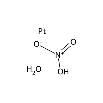 O.O=[N+]([O-])O.[Pt]